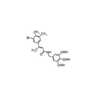 COc1cc(CNC(=O)/C=C(\C)c2cc(C)c(C)c(Br)c2)cc(OC)c1OC